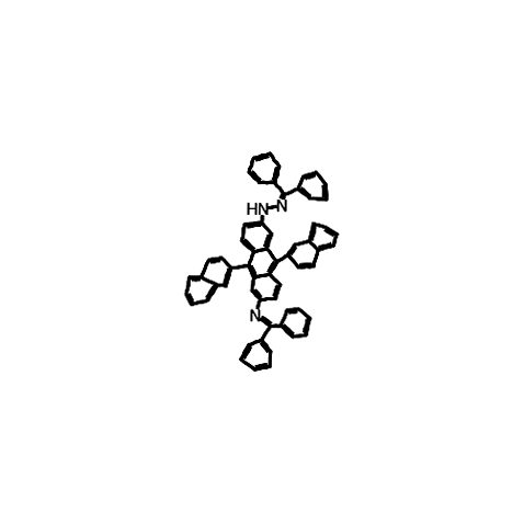 c1ccc(C(=NNc2ccc3c(-c4ccc5ccccc5c4)c4cc(N=C(c5ccccc5)c5ccccc5)ccc4c(-c4ccc5ccccc5c4)c3c2)c2ccccc2)cc1